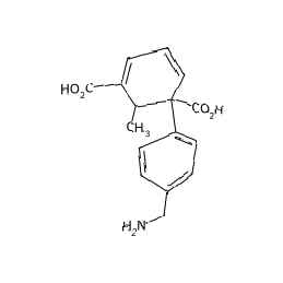 CC1C(C(=O)O)=CC=CC1(C(=O)O)c1ccc(CN)cc1